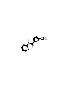 Cc1ccc(C(=O)Nc2ccccn2)s1